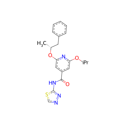 CC(C)Oc1cc(C(=O)Nc2nncs2)cc(O[C@H](C)Cc2ccccc2)n1